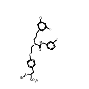 CCOC(Cc1ccc(OCCN(CCCc2cc(Cl)cc(Cl)c2)C(=O)Nc2cccc(F)c2)cc1)C(=O)O